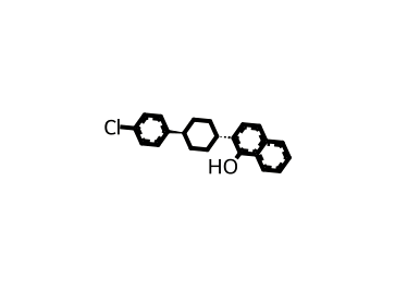 Oc1c2ccccc2ccc1[C@H]1CC[C@H](c2ccc(Cl)cc2)CC1